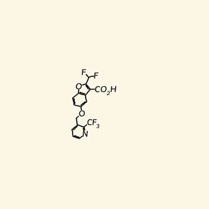 O=C(O)c1c(C(F)F)oc2ccc(OCc3cccnc3C(F)(F)F)cc12